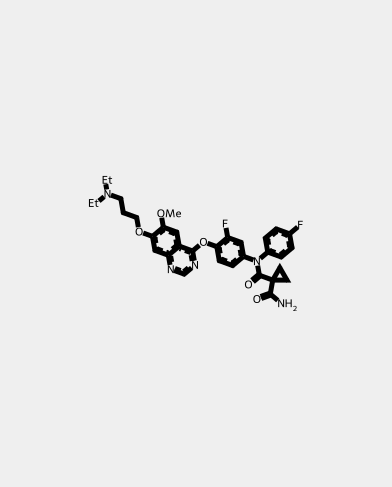 CCN(CC)CCCOc1cc2ncnc(Oc3ccc(N(C(=O)C4(C(N)=O)CC4)c4ccc(F)cc4)cc3F)c2cc1OC